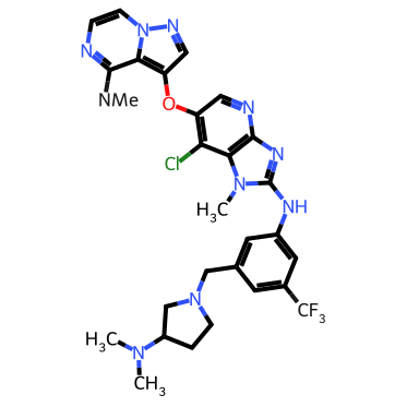 CNc1nccn2ncc(Oc3cnc4nc(Nc5cc(CN6CCC(N(C)C)C6)cc(C(F)(F)F)c5)n(C)c4c3Cl)c12